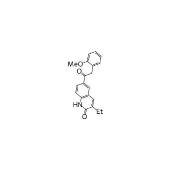 CCc1cc2cc(C(=O)Cc3ccccc3OC)ccc2[nH]c1=O